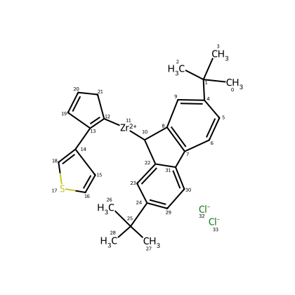 CC(C)(C)c1ccc2c(c1)[CH]([Zr+2][C]1=C(c3ccsc3)C=CC1)c1cc(C(C)(C)C)ccc1-2.[Cl-].[Cl-]